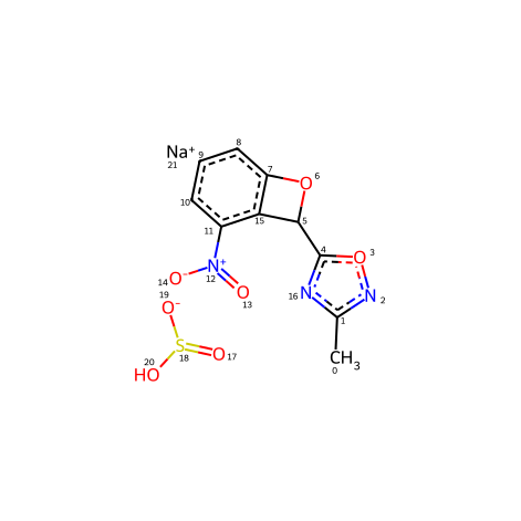 Cc1noc(C2Oc3cccc([N+](=O)[O-])c32)n1.O=S([O-])O.[Na+]